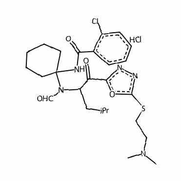 CC(C)CC(C(=O)c1nnc(SCCN(C)C)o1)N(C=O)C1(NC(=O)c2ccccc2Cl)CCCCC1.Cl